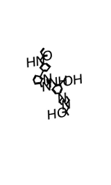 C=CC(=O)Nc1cccc(-c2cccc3cnc(Nc4ccc(N5CCN(CC(C)O)CC5)cc4CO)nc23)c1